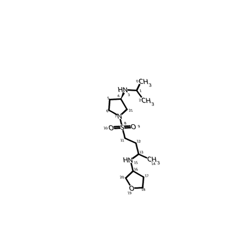 CC(C)N[C@@H]1CCN(S(=O)(=O)CCC(C)NC2CCOC2)C1